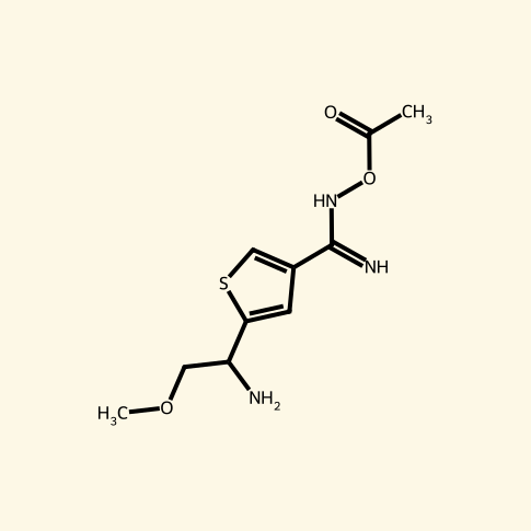 COCC(N)c1cc(C(=N)NOC(C)=O)cs1